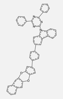 c1ccc(-c2nc(-c3ccccc3)nc(-n3c4ccccc4c4cc(-c5ccc(-c6ccc7c(c6)Oc6cc8ccccc8cc6O7)cc5)ccc43)n2)cc1